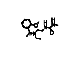 CCN(CCNC(=O)NC)[C@@H](C)c1ccccc1OC